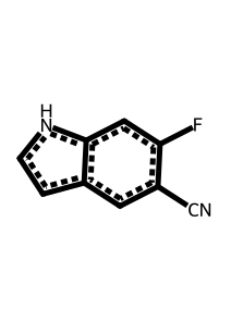 N#Cc1cc2cc[nH]c2cc1F